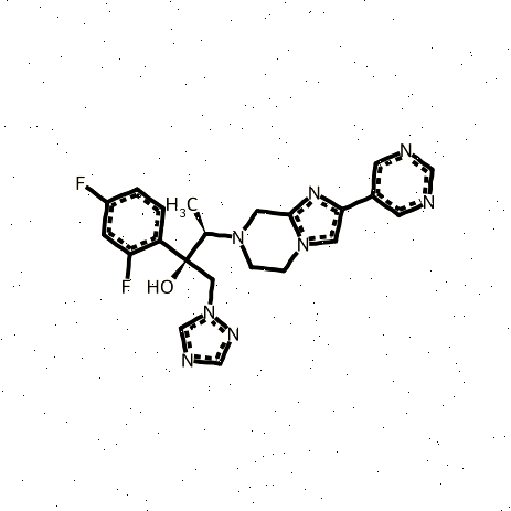 C[C@@H](N1CCn2cc(-c3cncnc3)nc2C1)[C@](O)(Cn1cncn1)c1ccc(F)cc1F